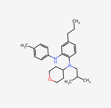 CCCc1ccc(N(CC(C)C)C2CCOCC2)c(Nc2ccc(C)cc2)c1